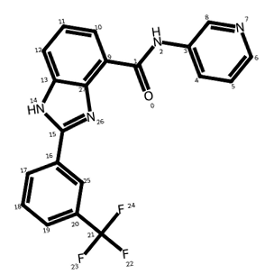 O=C(Nc1cccnc1)c1cccc2[nH]c(-c3cccc(C(F)(F)F)c3)nc12